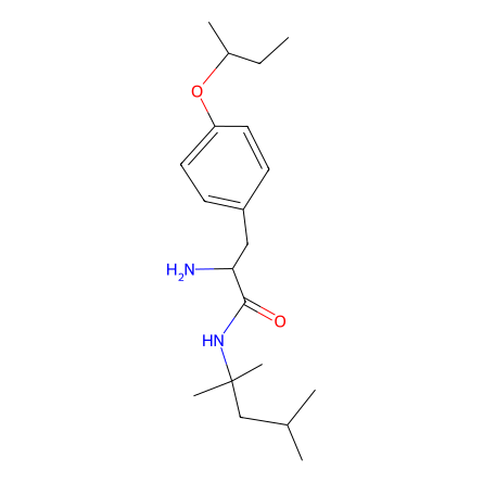 CCC(C)Oc1ccc(CC(N)C(=O)NC(C)(C)CC(C)C)cc1